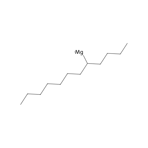 CCCCCCC[CH]([Mg])CCCC